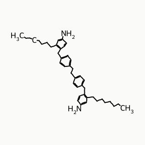 CCCCCCCCc1cc(N)ccc1Cc1ccc(CCc2ccc(Cc3ccc(N)cc3CCCCCCCC)cc2)cc1